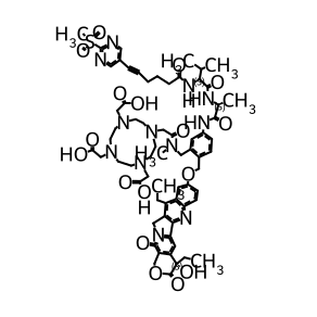 CCc1c2c(nc3ccc(OCc4ccc(NC(=O)[C@H](C)NC(=O)[C@@H](NC(=O)CCCC#Cc5cnc(S(C)(=O)=O)nc5)C(C)C)cc4CN(C)C(=O)CN4CCN(CC(=O)O)CCN(CC(=O)O)CCN(CC(=O)O)CC4)cc13)-c1cc3c(c(=O)n1C2)COC(=O)[C@]3(O)CC